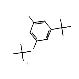 CC(C)(C)Oc1cc(F)[c]c(C(F)(F)F)c1